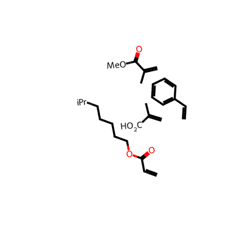 C=C(C)C(=O)O.C=C(C)C(=O)OC.C=CC(=O)OCCCCCC(C)C.C=Cc1ccccc1